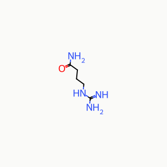 N=C(N)NCCCC(N)=O